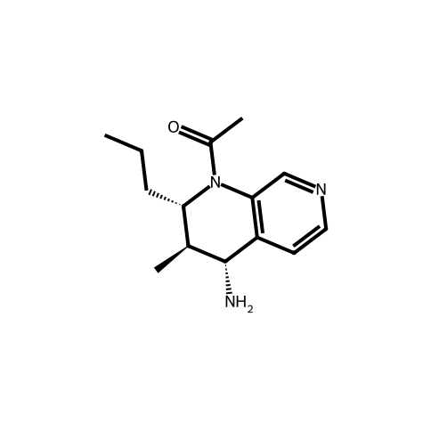 CCC[C@H]1[C@H](C)[C@@H](N)c2ccncc2N1C(C)=O